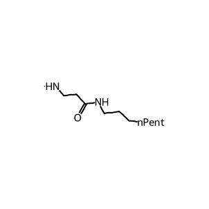 CCCCCCCCNC(=O)CC[NH]